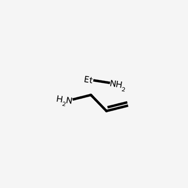 C=CCN.CCN